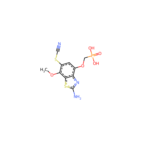 COc1c(SC#N)cc(OCP(=O)(O)O)c2nc(N)sc12